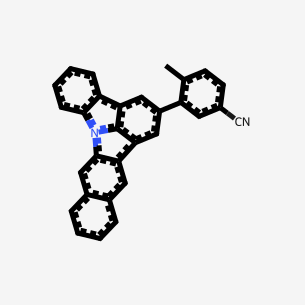 Cc1ccc(C#N)cc1-c1cc2c3ccccc3n3c4cc5ccccc5cc4c(c1)c23